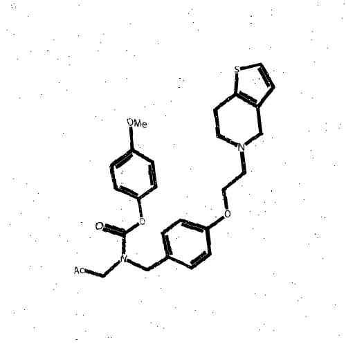 COc1ccc(OC(=O)N(CC(C)=O)Cc2ccc(OCCN3CCc4sccc4C3)cc2)cc1